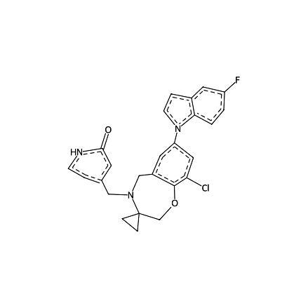 O=c1cc(CN2Cc3cc(-n4ccc5cc(F)ccc54)cc(Cl)c3OCC23CC3)cc[nH]1